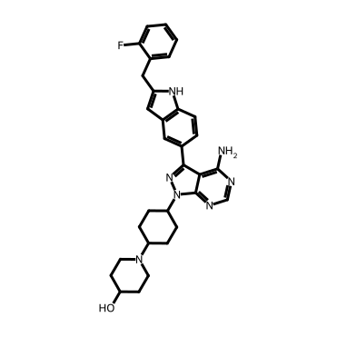 Nc1ncnc2c1c(-c1ccc3[nH]c(Cc4ccccc4F)cc3c1)nn2C1CCC(N2CCC(O)CC2)CC1